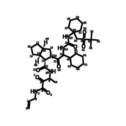 C=CCNC(=O)C(=O)C(C)NC(=O)[C@@H]1[C@H]2CCC[C@H]2CN1C(=O)[C@@H](NC(=O)NC1(CS(=O)(=O)C(C)(C)C)CCCCC1)C1CCCCC1